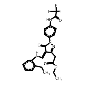 CCOC(=O)CC1=NN(c2ccc(NC(=O)C(F)(F)F)cc2)C(=O)C1=CNc1ccccc1CC